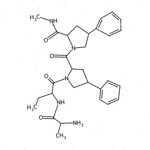 CCC(NC(=O)C(C)N)C(=O)N1CC(c2ccccc2)CC1C(=O)N1CC(c2ccccc2)CC1C(=O)NC